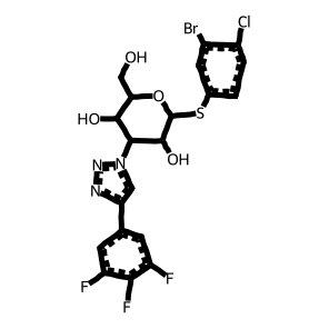 OCC1OC(Sc2ccc(Cl)c(Br)c2)C(O)C(n2cc(-c3cc(F)c(F)c(F)c3)nn2)C1O